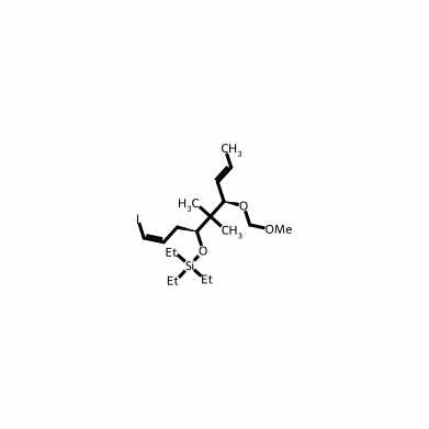 C/C=C/[C@@H](OCOC)C(C)(C)[C@H](C/C=C\I)O[Si](CC)(CC)CC